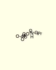 CC(C)OCCNC(=O)c1ccc(S(=O)(=O)n2cc(-c3ccccc3)c3ccccc32)cc1